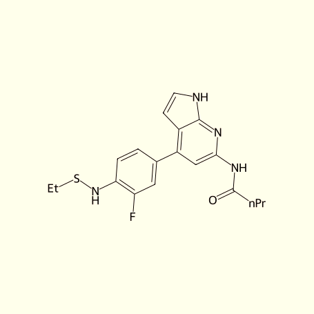 CCCC(=O)Nc1cc(-c2ccc(NSCC)c(F)c2)c2cc[nH]c2n1